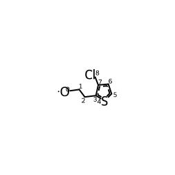 [O]CCc1sccc1Cl